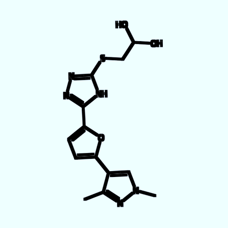 Cc1nn(C)cc1-c1ccc(-c2nnc(SCC(O)O)[nH]2)o1